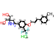 Cc1cccc(/C=C/COc2ccc(CCC(N)(CO)CO)cc2C(F)(F)F)c1.Cl